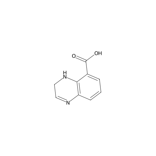 O=C(O)c1cccc2c1NCC=N2